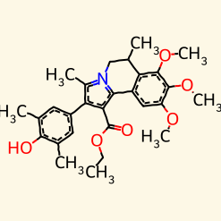 CCOC(=O)c1c(-c2cc(C)c(O)c(C)c2)c(C)n2c1-c1cc(OC)c(OC)c(OC)c1C(C)C2